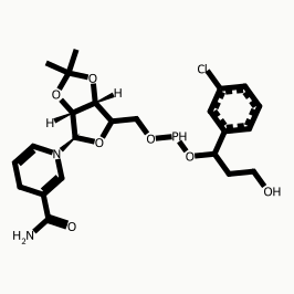 CC1(C)O[C@@H]2[C@H](O1)C(COPOC(CCO)c1cccc(Cl)c1)O[C@H]2N1C=CCC(C(N)=O)=C1